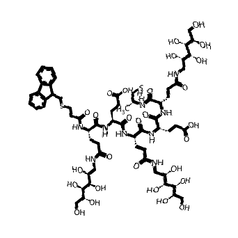 C[C@H](CS)NC(=O)[C@H](CCC(=O)NC[C@H](O)[C@@H](O)[C@H](O)[C@H](O)CO)NC(=O)[C@H](CCC(=O)O)NC(=O)[C@H](CCC(=O)NC[C@H](O)[C@@H](O)[C@H](O)[C@H](O)CO)NC(=O)[C@H](CCC(=O)O)NC(=O)[C@H](CCC(=O)NC[C@H](O)[C@@H](O)[C@H](O)[C@H](O)CO)NC(=O)CCSCC1c2ccccc2-c2ccccc21